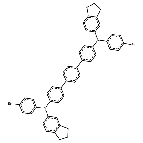 CCc1ccc(N(c2ccc(-c3ccc(-c4ccc(N(c5ccc(CC)cc5)c5ccc6c(c5)CCC6)cc4)cc3)cc2)c2ccc3c(c2)CCC3)cc1